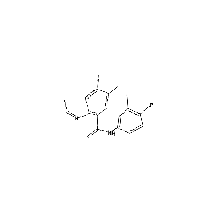 C=C(Nc1ccc(F)c(C)c1)c1cc(C)c(C)cc1/N=C\C